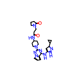 O=C(CCN1CCCC1=O)NC1CCN(c2nc(Nc3cc(C4CC4)n[nH]3)c3cccn3n2)CC1